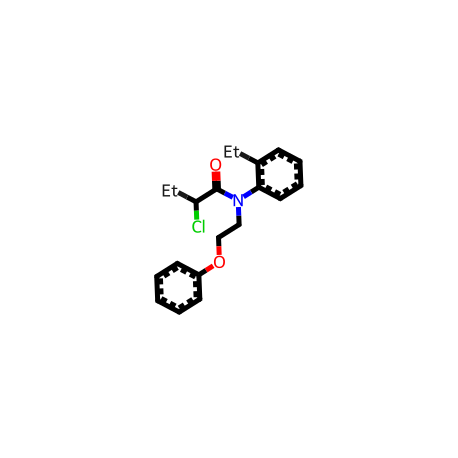 CCc1ccccc1N(CCOc1ccccc1)C(=O)C(Cl)CC